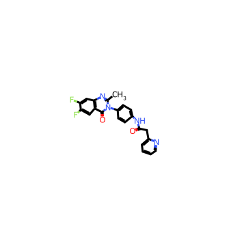 Cc1nc2cc(F)c(F)cc2c(=O)n1-c1ccc(NC(=O)Cc2ccccn2)cc1